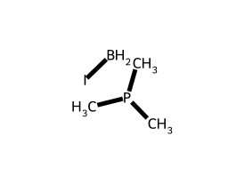 BI.CP(C)C